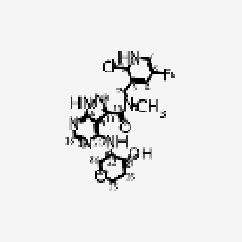 CN(CC1=CC(F)=CNC1Cl)C(=O)c1n[nH]c2ncnc(N[C@@H]3COCC[C@H]3O)c12